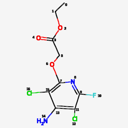 CCOC(=O)COc1nc(F)c(Cl)c(N)c1Cl